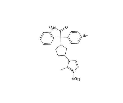 CCCCCCCC[n+]1ccn(C2CCC(C(C(N)=O)(c3ccccc3)c3ccccc3)C2)c1C.[Br-]